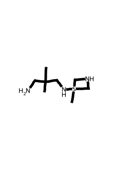 CC(C)(CN)CNS1(C)CNC1